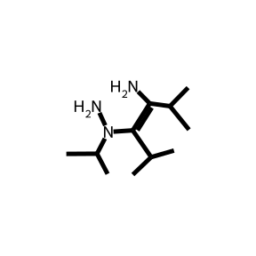 CC(C)/C(N)=C(\C(C)C)N(N)C(C)C